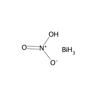 O=[N+]([O-])O.[BiH3]